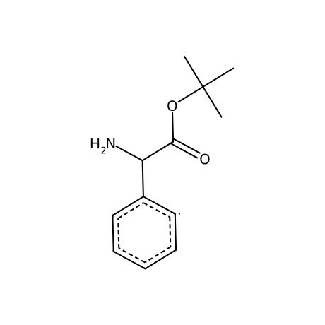 CC(C)(C)OC(=O)C(N)c1[c]cccc1